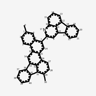 Cc1ccc2c(c1)c(-c1cc3c4c(cccc4n1)-c1ccccc1-3)cc1c3ccc(C)c4c3c(cc21)-c1ccccc1-4